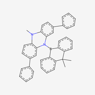 CN1c2ccc(-c3ccccc3)cc2N(B2c3ccccc3C(C)(C)c3ccccc32)c2cc(-c3ccccc3)ccc21